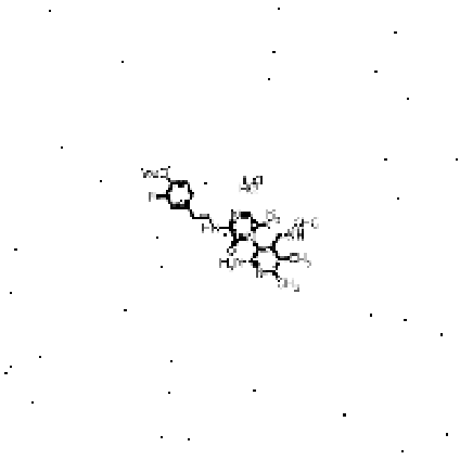 C=C1C(CNC=O)=C(n2c(C)cnc(NCCc3ccc(OC)c(F)c3)c2=O)C(N)=NC1C.Cl.Cl